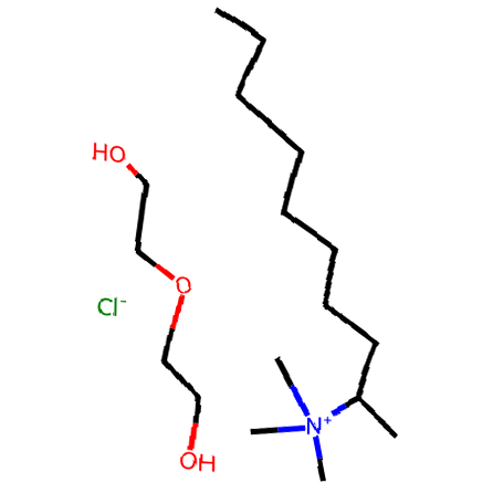 CCCCCCCCC(C)[N+](C)(C)C.OCCOCCO.[Cl-]